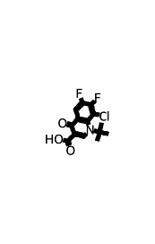 CC(C)(C)n1cc(C(=O)O)c(=O)c2cc(F)c(F)c(Cl)c21